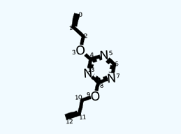 C=CCOc1ncnc(OCC=C)n1